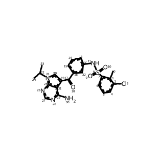 Cc1c(Cl)cccc1S(=O)(=O)Nc1cccc(C(=O)c2cn(C(C)C)c3ncnc(N)c23)c1